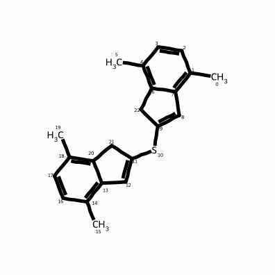 Cc1ccc(C)c2c1C=C(SC1=Cc3c(C)ccc(C)c3C1)C2